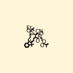 C=C(C)C(=O)OCCN1C(=O)C(C#N)=C(C)/C(=C/C=C2\N(CCCOC(=O)C(C)(C)CC)c3ccccc3C2(C)C)C1=O